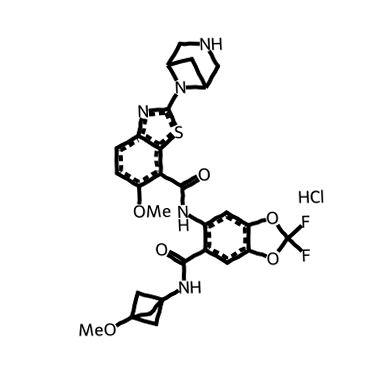 COc1ccc2nc(N3C4CNCC3C4)sc2c1C(=O)Nc1cc2c(cc1C(=O)NC13CC(OC)(C1)C3)OC(F)(F)O2.Cl